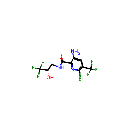 Nc1cc(C(F)(F)F)c(Br)nc1C(=O)NC[C@H](O)C(F)(F)F